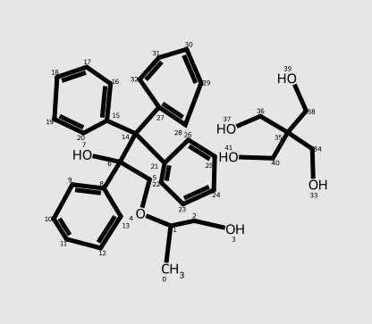 CC(CO)OCC(O)(c1ccccc1)C(c1ccccc1)(c1ccccc1)c1ccccc1.OCC(CO)(CO)CO